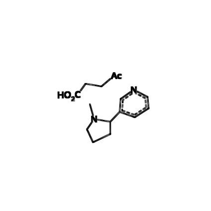 CC(=O)CCC(=O)O.CN1CCCC1c1cccnc1